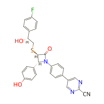 N#Cc1ncc(-c2ccc(N3C(=O)[C@H](SC[C@H](O)c4ccc(F)cc4)[C@H]3c3ccc(O)cc3)cc2)cn1